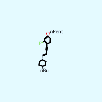 CCCCCOc1ccc(C#CC=C[C@H]2CC[C@H](CCCC)CC2)c(F)c1